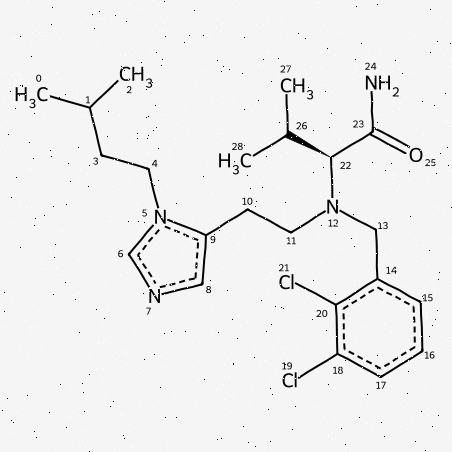 CC(C)CCn1cncc1CCN(Cc1cccc(Cl)c1Cl)[C@H](C(N)=O)C(C)C